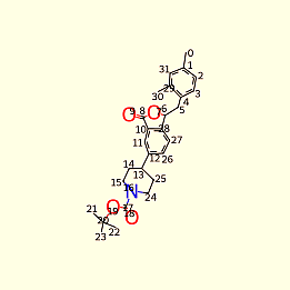 Cc1ccc(CC2OC(=O)c3cc(C4CCN(C(=O)OC(C)(C)C)CC4)ccc32)c(C)c1